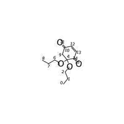 CCCOC1(OCCC)CC(=O)C=CC1=O